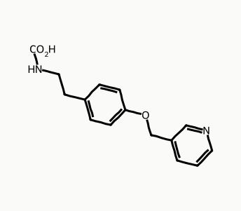 O=C(O)NCCc1ccc(OCc2cccnc2)cc1